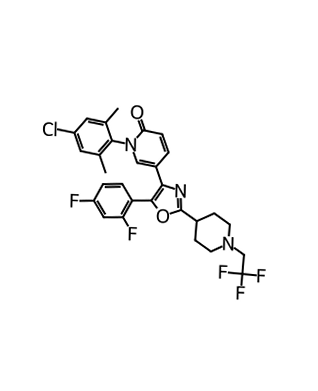 Cc1cc(Cl)cc(C)c1-n1cc(-c2nc(C3CCN(CC(F)(F)F)CC3)oc2-c2ccc(F)cc2F)ccc1=O